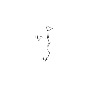 CCC=CC(C)=C1CC1